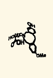 COc1ccc2c(c1)CCc1ccc(O)cc1CN(C)CC2.O=C(O)C(=O)O